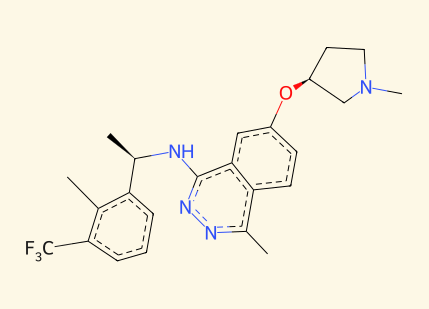 Cc1c([C@@H](C)Nc2nnc(C)c3ccc(O[C@H]4CCN(C)C4)cc23)cccc1C(F)(F)F